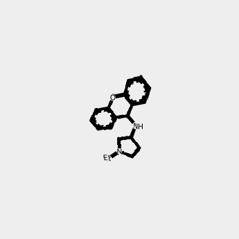 CCN1CCC(NC2c3ccccc3Oc3ccccc32)C1